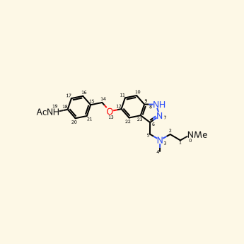 CNCCN(C)Cc1n[nH]c2ccc(OCc3ccc(NC(C)=O)cc3)cc12